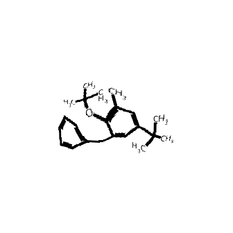 Cc1cc(C(C)(C)C)cc(Cc2ccccc2)c1OC(C)(C)C